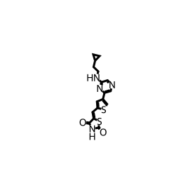 O=C1NC(=O)/C(=C/c2cc(-c3cncc(NCCC4CC4)n3)cs2)S1